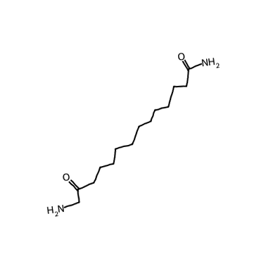 NCC(=O)CCCCCCCCCCCC(N)=O